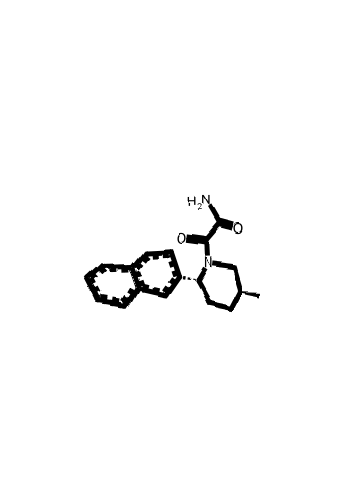 C[C@H]1CC[C@H](c2ccc3ccccc3c2)N(C(=O)C(N)=O)C1